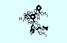 CC[C@H](NC[C@H](Cc1ccsc1)NC(=O)c1cc(C(=O)N[C@H](C)c2ccccc2)cc(N(C)S(C)(=O)=O)c1)C(=O)NCC1CC1